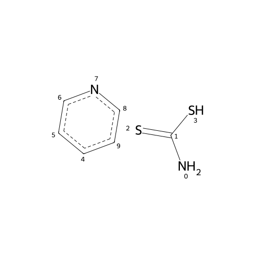 NC(=S)S.c1ccncc1